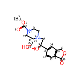 CC(C)(C)OC(=O)N1CCN(CC(O)c2ccc3c(c2)COC3=O)[C@H](CO)C1